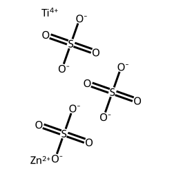 O=S(=O)([O-])[O-].O=S(=O)([O-])[O-].O=S(=O)([O-])[O-].[Ti+4].[Zn+2]